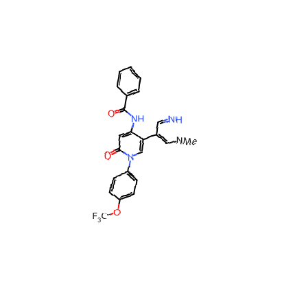 CN/C=C(\C=N)c1cn(-c2ccc(OC(F)(F)F)cc2)c(=O)cc1NC(=O)c1ccccc1